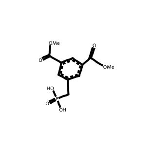 COC(=O)c1cc(CP(=O)(O)O)cc(C(=O)OC)c1